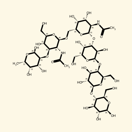 CC(=O)N[C@H]1[C@H](O[C@H]2[C@@H](O)[C@@H](CO)O[C@H](O[C@@H]3[C@H](O)[C@@H](O)[C@H](O[C@H]4[C@H](O)[C@@H](O)[C@H](O)O[C@@H]4CO)O[C@@H]3CO)[C@@H]2O)O[C@H](CO[C@@H]2O[C@H](CO)[C@@H](O)[C@H](O[C@H]3[C@H](O)[C@H](O)[C@H](C)O[C@H]3O)[C@H]2NC(C)=O)[C@H](O)[C@@H]1O